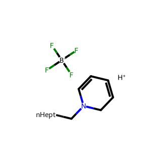 CCCCCCCCN1C=CC=CC1.F[B-](F)(F)F.[H+]